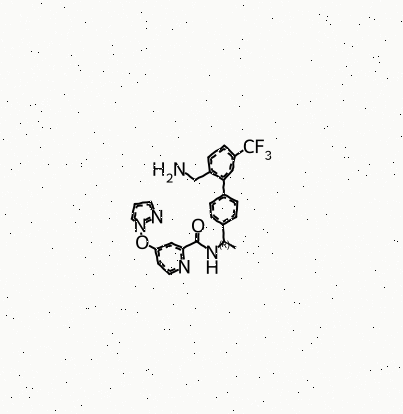 C[C@@H](NC(=O)c1cc(On2cccn2)ccn1)c1ccc(-c2cc(C(F)(F)F)ccc2CN)cc1